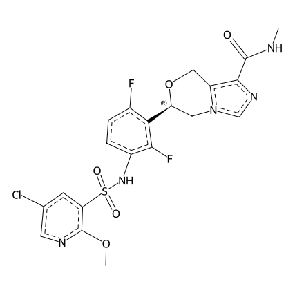 CNC(=O)c1ncn2c1CO[C@H](c1c(F)ccc(NS(=O)(=O)c3cc(Cl)cnc3OC)c1F)C2